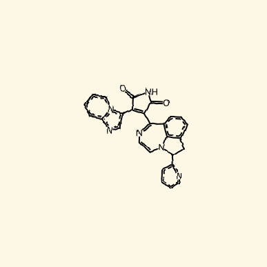 O=C1NC(=O)C(c2cnc3ccccn23)=C1C1=NC=CN2c3c(cccc31)CC2c1ccccn1